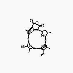 C=Cc1c(C)c2cc3nc(c4c5[nH]c(cc6nc(cc1[nH]2)C(C)C6CC)c(C)c5C(=O)OC4=O)C[C@H]3C